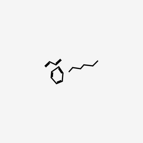 C=CC=C.CCCCCC.c1ccccc1